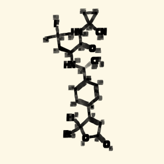 CCC1(CC)OC(=O)C=C1c1ccc([C@H](N[C@@H](CC(C)(C)F)C(=O)NC2(C#N)CC2)C(F)(F)F)cc1